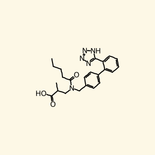 CCCCC(=O)N(Cc1ccc(-c2ccccc2-c2nnn[nH]2)cc1)CC(C)C(=O)O